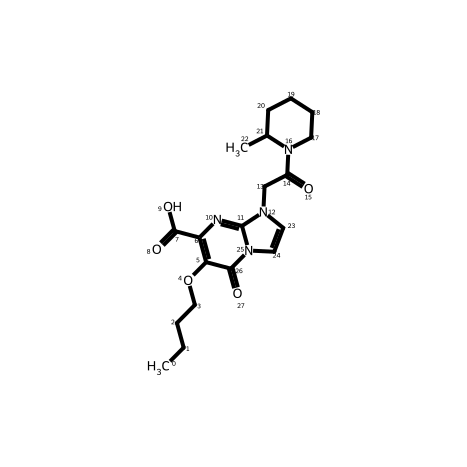 CCCCOc1c(C(=O)O)nc2n(CC(=O)N3CCCCC3C)ccn2c1=O